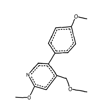 COCc1cc(OC)ncc1-c1ccc(OC)cc1